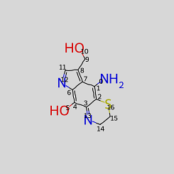 Nc1c2c(c(O)c3c1=C(CO)C=N3)=NCCS2